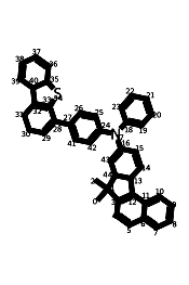 CC1(C)c2ccc3ccccc3c2C2C=CC(N(c3ccccc3)c3ccc(C4=CCCC5=C4SC4C=CC=CC54)cc3)=CC21